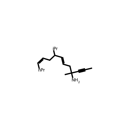 CC#CC(C)(N)C/C=C/C(C/C=C\CCC)C(C)C